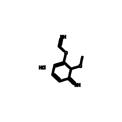 COC1C(=N)C=CC=C1OC=N.Cl